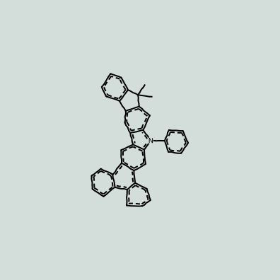 CC1(C)c2ccccc2-c2cc3c4cc5c6ccccc6c6ccccc6c5cc4n(-c4ccccc4)c3cc21